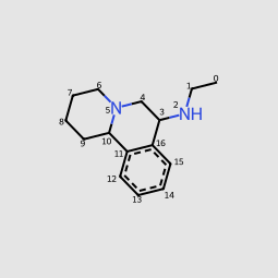 CCNC1CN2CCCCC2c2ccccc21